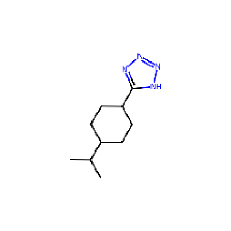 CC(C)C1CCC(c2nnn[nH]2)CC1